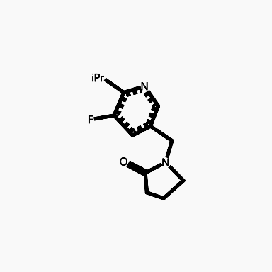 CC(C)c1ncc(CN2CCCC2=O)cc1F